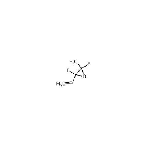 C=CC1(F)OC1(F)C(F)(F)F